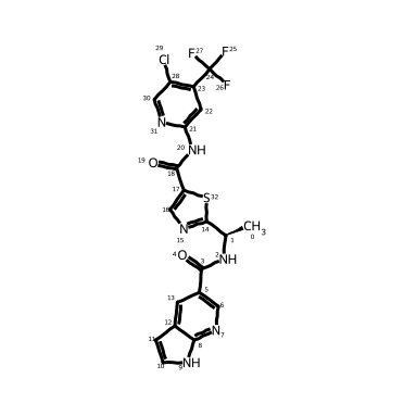 C[C@@H](NC(=O)c1cnc2[nH]ccc2c1)c1ncc(C(=O)Nc2cc(C(F)(F)F)c(Cl)cn2)s1